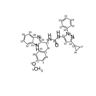 COc1ccc(CC(NC(=O)Nc2cc(C3CC3)nn2-c2ccccc2)c2nc3ccccc3[nH]2)cc1